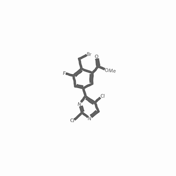 COC(=O)c1cc(-c2nc(Cl)ncc2Cl)cc(F)c1CBr